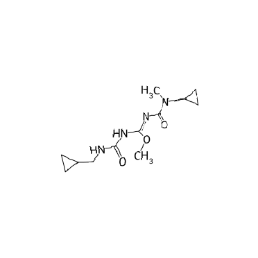 COC(=NC(=O)N(C)C1CC1)NC(=O)NCC1CC1